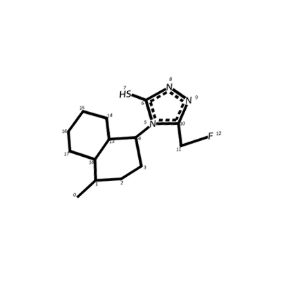 CC1CCC(n2c(S)nnc2CF)C2CCCCC12